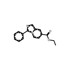 CCOC(=O)c1ccn2c(-c3ccccc3)ncc2c1